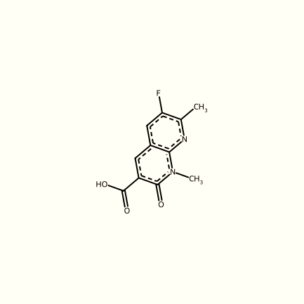 Cc1nc2c(cc1F)cc(C(=O)O)c(=O)n2C